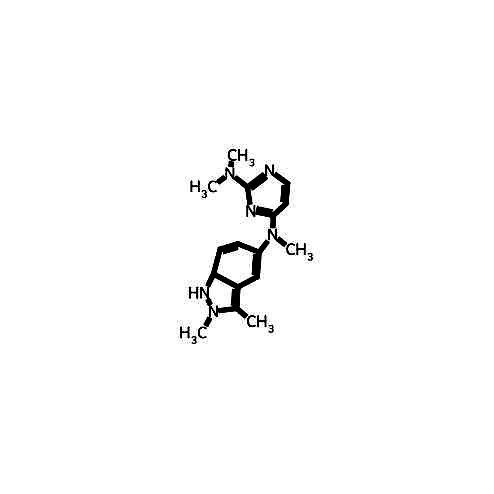 CC1=C2C=C(N(C)c3ccnc(N(C)C)n3)C=CC2NN1C